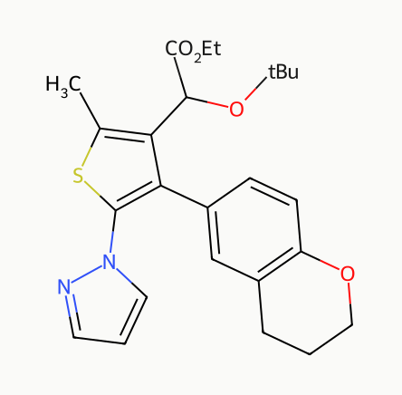 CCOC(=O)C(OC(C)(C)C)c1c(C)sc(-n2cccn2)c1-c1ccc2c(c1)CCCO2